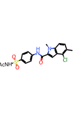 CC(=O)NS(=O)(=O)c1ccc(NC(=O)c2cc3c(Cl)c(C)ccc3n2C)cc1